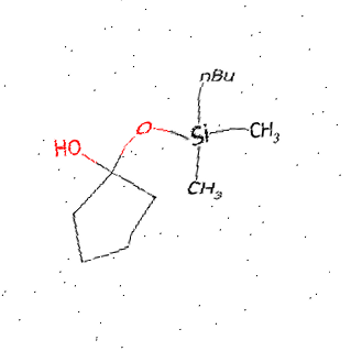 CCCC[Si](C)(C)OC1(O)CCCC1